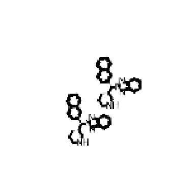 c1ccc2cc([C@@H]([C@H]3CCCNC3)n3nc4ccccc4n3)ccc2c1.c1ccc2cc([C@H]([C@H]3CCCNC3)n3nc4ccccc4n3)ccc2c1